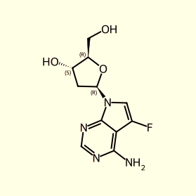 Nc1ncnc2c1c(F)cn2[C@H]1C[C@H](O)[C@@H](CO)O1